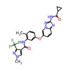 Cc1ccc(Oc2ccc3nc(NC(=O)C4CC4)nn3c2)cc1NC(=O)c1cn(C)nc1C(F)(F)F